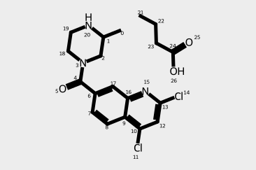 CC1CN(C(=O)c2ccc3c(Cl)cc(Cl)nc3c2)CCN1.CCCC(=O)O